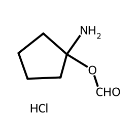 Cl.NC1(OC=O)CCCC1